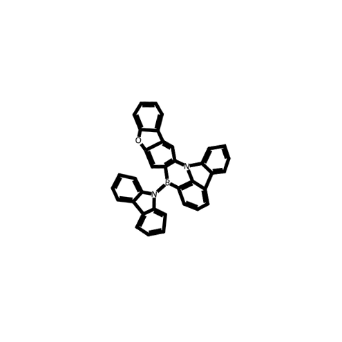 c1ccc2c(c1)oc1cc3c(cc12)-n1c2ccccc2c2cccc(c21)B3n1c2ccccc2c2ccccc21